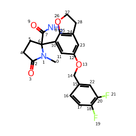 CN1C(=O)CCC1(C(N)=O)c1cc(OCc2ccc(F)c(F)c2)cc2c1OCC2